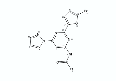 CCC(=O)Nc1cc(-n2cccn2)nc(-c2ccc(Br)o2)n1